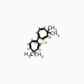 CC1(C)C=CC=c2c(sc3c2=CC=CC(C)(C)C=3)=C1